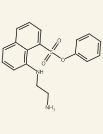 NCCNc1cccc2cccc(S(=O)(=O)Oc3ccccc3)c12